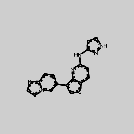 c1cn2cc(-c3csc4ccc(Nc5cc[nH]n5)nc34)ccc2n1